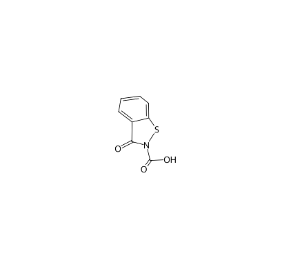 O=C(O)n1sc2ccccc2c1=O